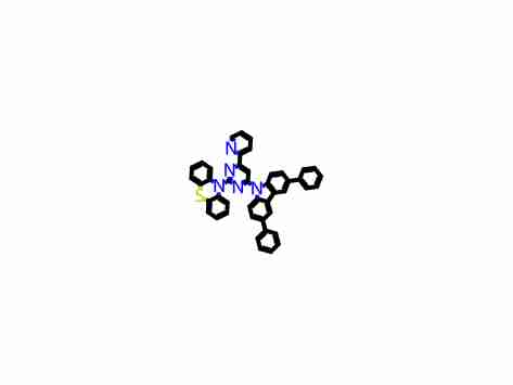 c1ccc(-c2ccc3c(c2)c2cc(-c4ccccc4)ccc2n3-c2cc(-c3ccccn3)nc(N3c4ccccc4Sc4ccccc43)n2)cc1